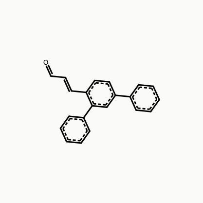 O=CC=Cc1ccc(-c2ccccc2)cc1-c1ccccc1